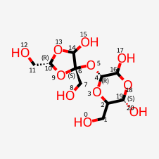 OCC1O[C@H](O[C@]2(CO)O[C@H](CO)OC2O)C(O)O[C@@H]1O